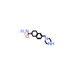 NC(=O)[C@H]1CCc2cc(CN3CCNCC3)ccc2C1